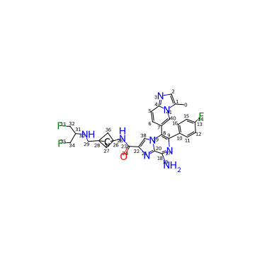 Cc1cnc2ccc(-c3c(-c4ccc(F)cc4)nc(N)c4nc(C(=O)NC56CC(CNC(CF)CF)(C5)C6)cn34)cn12